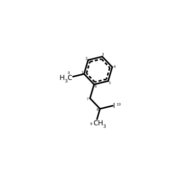 Cc1ccccc1CC(C)I